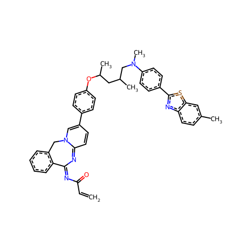 C=CC(=O)/N=C1\N=C2C=CC(c3ccc(OC(C)CC(C)CN(C)c4ccc(-c5nc6ccc(C)cc6s5)cc4)cc3)=CN2Cc2ccccc21